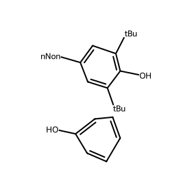 CCCCCCCCCc1cc(C(C)(C)C)c(O)c(C(C)(C)C)c1.Oc1ccccc1